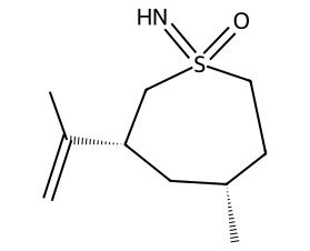 C=C(C)[C@H]1C[C@@H](C)CCS(=N)(=O)C1